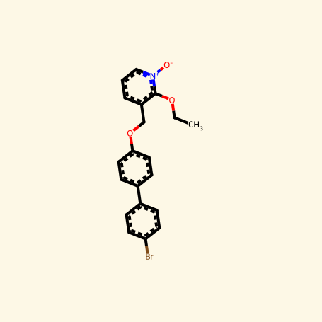 CCOc1c(COc2ccc(-c3ccc(Br)cc3)cc2)ccc[n+]1[O-]